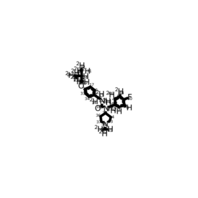 [2H]c1c([2H])c(C([2H])([2H])N(C(=O)NC([2H])([2H])c2ccc(OC([2H])([2H])C([2H])(C([2H])([2H])[2H])C([2H])([2H])[2H])cc2)C2CCN(C([2H])([2H])[2H])CC2)c([2H])c([2H])c1F